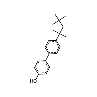 CC(C)(C)CC(C)(C)c1ccc(-c2ccc(O)cc2)cc1